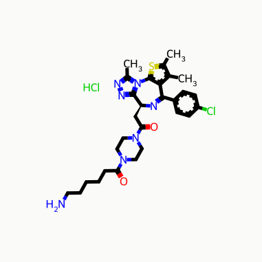 Cc1sc2c(c1C)C(c1ccc(Cl)cc1)=N[C@@H](CC(=O)N1CCN(C(=O)CCCCCN)CC1)c1nnc(C)n1-2.Cl